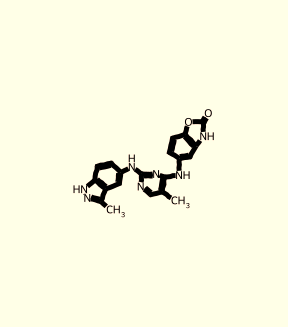 Cc1cnc(Nc2ccc3[nH]nc(C)c3c2)nc1Nc1ccc2oc(=O)[nH]c2c1